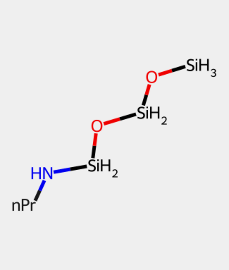 CCCN[SiH2]O[SiH2]O[SiH3]